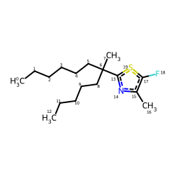 CCCCCCC(C)(CCCCC)c1nc(C)c(F)s1